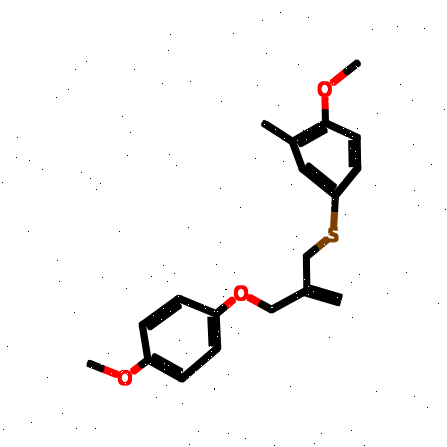 C=C(COc1ccc(OC)cc1)CSc1ccc(OC)c(C)c1